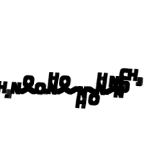 Cc1nc(CNC(=O)CNCCC(=O)CNCOCC(=O)CN)no1